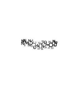 O=C(Cc1cnc(-n2cnnn2)nc1)N1CCN2CC(c3ccc4onnc4c3)OCC2C1